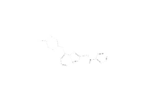 CN1CCC(Nc2cccc3nc(NC(=O)c4ccccc4)nn23)CC1